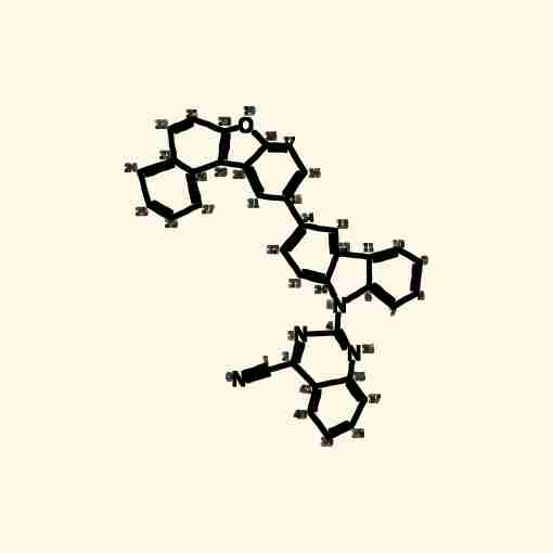 N#Cc1nc(-n2c3ccccc3c3cc(-c4ccc5oc6ccc7ccccc7c6c5c4)ccc32)nc2ccccc12